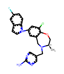 C[C@@H]1COc2c(Cl)cc(-n3ccc4cc(F)ccc43)cc2CN1Cc1cnc(N)nc1